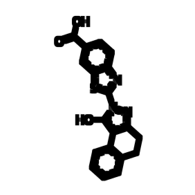 O=C(O)c1ccc2nc(-n3nc4c(c3O)-c3ccccc3CC4)sc2c1